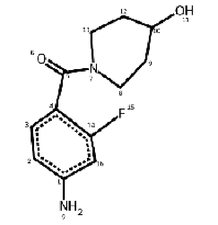 Nc1ccc(C(=O)N2CCC(O)CC2)c(F)c1